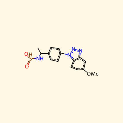 COc1ccc2c(c1)nnn2-c1ccc(C(C)N[SH](=O)=O)cc1